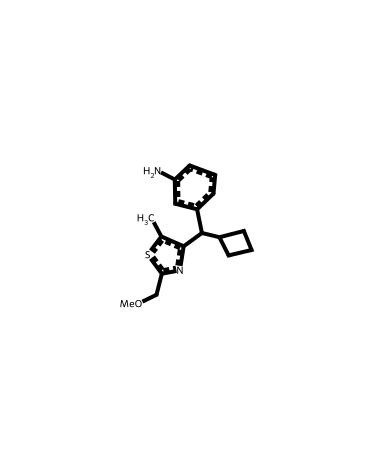 COCc1nc(C(c2cccc(N)c2)C2CCC2)c(C)s1